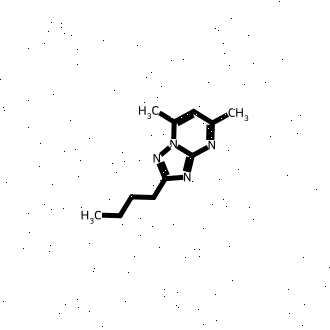 CCCCc1nc2nc(C)cc(C)n2n1